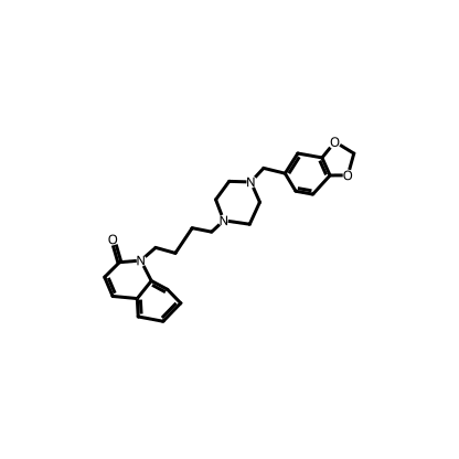 O=c1ccc2ccccc2n1CCCCN1CCN(Cc2ccc3c(c2)OCO3)CC1